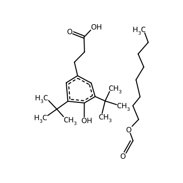 CC(C)(C)c1cc(CCC(=O)O)cc(C(C)(C)C)c1O.CCCCCCCCOC=O